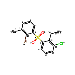 CCCCc1cccc(S(=O)(=O)c2cccc(Cl)c2CC(C)C)c1Br